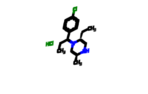 CCC(c1ccc(Cl)cc1)N1C[C@H](C)NC[C@H]1CC.Cl